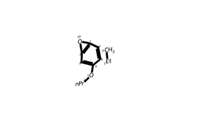 CCC.CCCOc1ccc2c(c1)O2